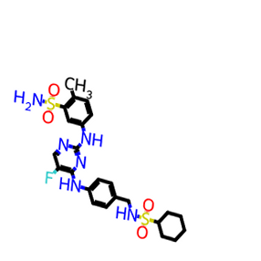 Cc1ccc(Nc2ncc(F)c(Nc3ccc(CNS(=O)(=O)C4CCCCC4)cc3)n2)cc1S(N)(=O)=O